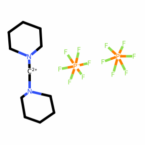 F[P-](F)(F)(F)(F)F.F[P-](F)(F)(F)(F)F.[C+2](N1CCCCC1)N1CCCCC1